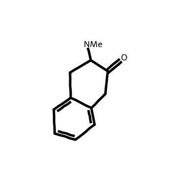 CNC1Cc2ccccc2CC1=O